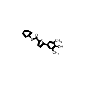 Cc1cc(-c2ccc(C(=O)Sc3ccccc3)s2)cc(C)c1O